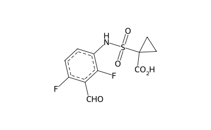 O=Cc1c(F)ccc(NS(=O)(=O)C2(C(=O)O)CC2)c1F